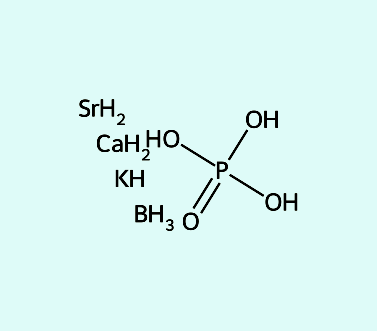 B.O=P(O)(O)O.[CaH2].[KH].[SrH2]